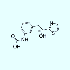 O=C(O)Nc1cccc(C[C@@H](O)c2nccs2)c1